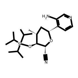 CC(C)[Si](O[C@H]1[C@H](C)C[C@H](c2ccncc2N)O[C@@H]1C#N)(C(C)C)C(C)C